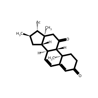 CC(=O)[C@H]1[C@H](C)C[C@H]2[C@@H]3C=CC4=CC(=O)CC[C@]4(C)[C@H]3C(=O)C[C@@]21C